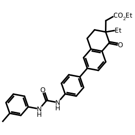 CCOC(=O)CC1(CC)CCc2cc(-c3ccc(NC(=O)Nc4cccc(C)c4)cc3)ccc2C1=O